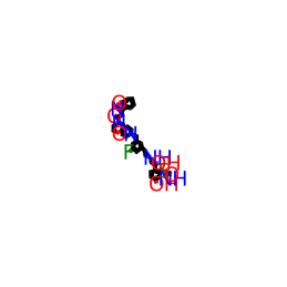 O=C(Cc1noc2ccccc12)N1CCOC2(CCN(Cc3cc(F)cc(CCNCC(O)c4ccc(O)c5[nH]c(=O)sc45)c3)CC2)C1